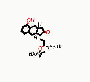 CCCCC[C@@H](CC[C@H]1C(=O)C[C@H]2Cc3c(O)cccc3C[C@H]21)O[Si](C)(C)C(C)(C)C